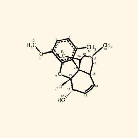 COc1ccc(C)c2c1O[C@H]1[C@@H](O)C=CC3CN(C)CC(C)[C@@]231